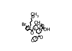 COCCCCn1c(Br)ccc1C(=O)N(CC(C)C)[C@H]1C[C@@H](C(=O)N2CCOCC2)CN(C(=O)O)C1